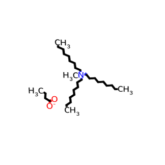 CCCC(=O)[O-].CCCCCCCCC[N+](C)(CCCCCCCCC)CCCCCCCCC